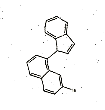 Brc1ccc2cccc(C3C=Cc4ccccc43)c2c1